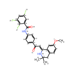 COc1ccc2c(c1)C(=CC(=O)c1ccc(NC(=O)c3cc(F)cc(F)c3F)cc1)NC(C)(C)C2